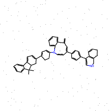 C=C1/C=C(c2ccc(C3=CNCC4=C3C=CCC4)cc2)\C=C/N(C2=CC=C(C3=CC=C4c5ccccc5C(C)(C)C4C3)CC2)c2ccccc21